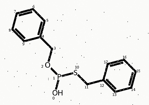 OP(OCc1ccccc1)SCc1ccccc1